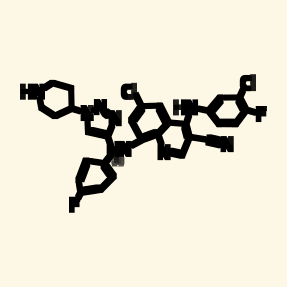 N#Cc1cnc2c(N[C@H](c3ccc(F)cc3)c3cn(C4CCNCC4)nn3)cc(Cl)cc2c1Nc1ccc(F)c(Cl)c1